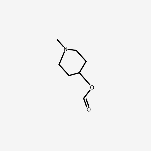 CN1CCC(OC=O)CC1